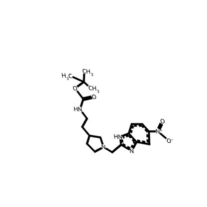 CC(C)(C)OC(=O)NCCC1CCN(Cc2nc3cc([N+](=O)[O-])ccc3[nH]2)C1